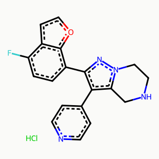 Cl.Fc1ccc(-c2nn3c(c2-c2ccncc2)CNCC3)c2occc12